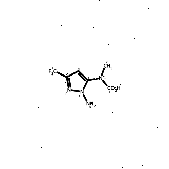 CN(C(=O)O)c1cc(C(F)(F)F)nn1N